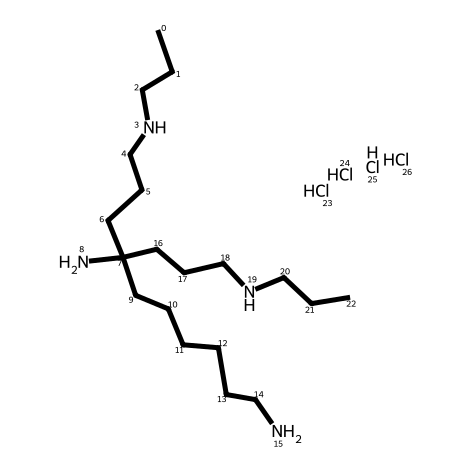 CCCNCCCC(N)(CCCCCCN)CCCNCCC.Cl.Cl.Cl.Cl